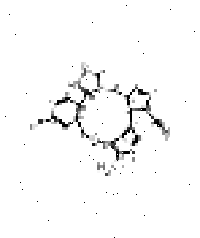 N#Cc1ncn2c1-c1cnc(N)c(c1)OCc1cc(F)ccc1-c1nscc1C2